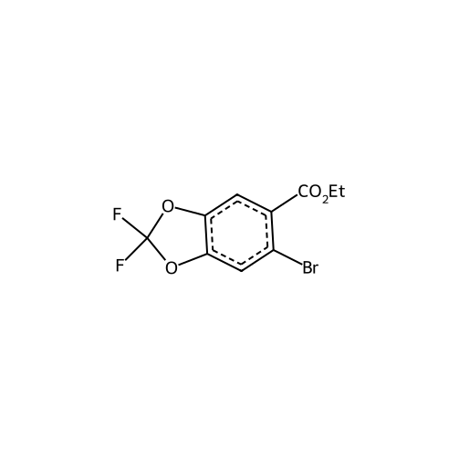 CCOC(=O)c1cc2c(cc1Br)OC(F)(F)O2